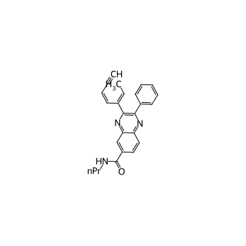 C#C/C=C\C(=C/C)c1nc2cc(C(=O)NCCC)ccc2nc1-c1ccccc1